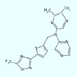 Cc1ncc(N(Cc2ccc(-c3noc(C(F)(F)F)n3)s2)c2cnccn2)nc1C